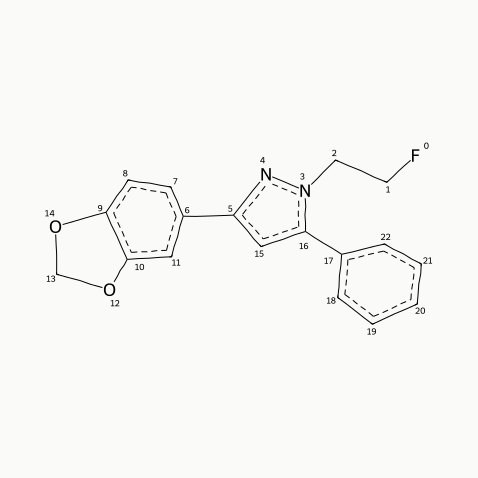 FCCn1nc(-c2ccc3c(c2)OCO3)cc1-c1ccccc1